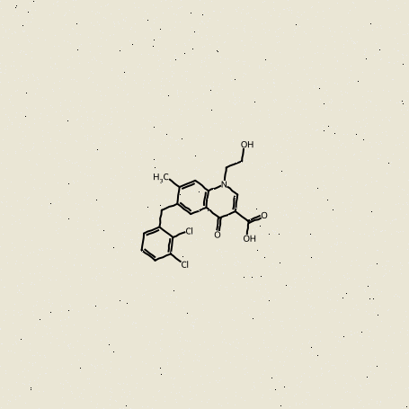 Cc1cc2c(cc1Cc1cccc(Cl)c1Cl)c(=O)c(C(=O)O)cn2CCO